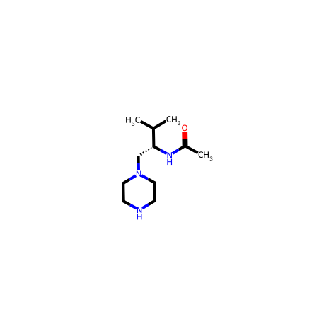 CC(=O)N[C@H](CN1CCNCC1)C(C)C